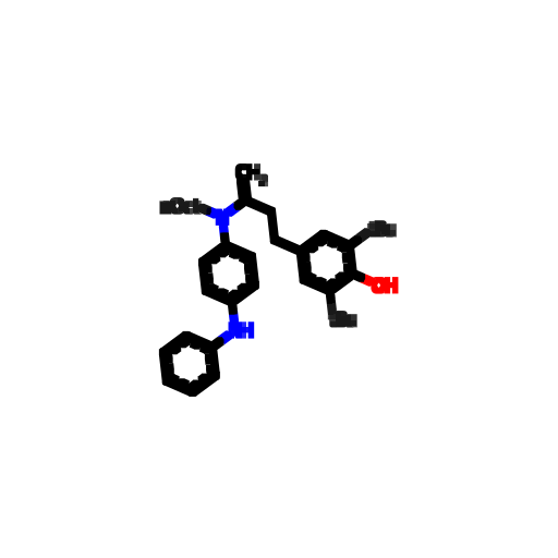 C=C(CCc1cc(C(C)(C)C)c(O)c(C(C)(C)C)c1)N(CCCCCCCC)c1ccc(Nc2ccccc2)cc1